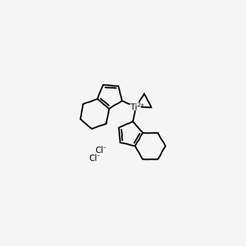 C1=C[CH]([Ti+2]2([CH]3C=CC4=C3CCCC4)[CH2][CH2]2)C2=C1CCCC2.[Cl-].[Cl-]